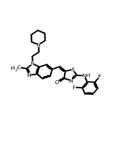 Cc1nc2ccc(C=C3SC(Nc4c(F)cccc4F)=NC3=O)cc2n1CCN1CCCCC1